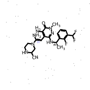 C[C@@H](Nc1nn(C)c(=O)c(N)c1/C=C(\N)N1CCNC(C#N)C1)c1cccc(C(F)F)c1F